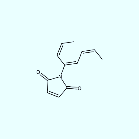 C\C=C/C=C(\C=C/C)N1C(=O)C=CC1=O